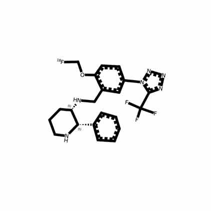 FC(F)(F)c1nnnn1-c1ccc(OC[18F])c(CN[C@H]2CCCN[C@H]2c2ccccc2)c1